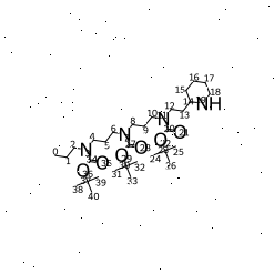 CCCN(CCCN(CCCN(CCC1CCCCN1)C(=O)OC(C)(C)C)C(=O)OC(C)(C)C)C(=O)OC(C)(C)C